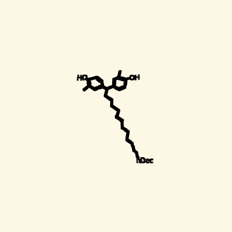 CCCCCCCCCCCCCCCCCCCCCCC(c1ccc(O)c(C)c1)c1ccc(O)c(C)c1